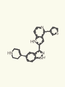 C1=C(c2ccc3[nH]nc(-c4cc5c(-c6ccsc6)nccc5[nH]4)c3c2)CCNC1